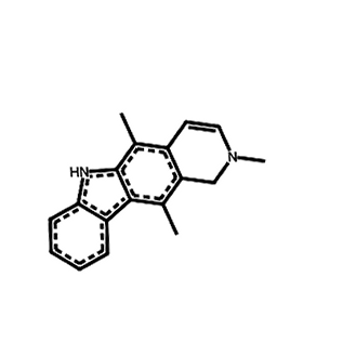 Cc1c2c(c(C)c3c1[nH]c1ccccc13)CN(C)C=C2